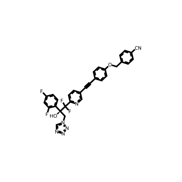 N#Cc1ccc(COc2ccc(C#Cc3ccc(C(F)(F)[C@](O)(Cn4cnnn4)c4ccc(F)cc4F)nc3)cc2)cc1